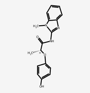 C[C@@H](Oc1ccc(O)cc1)C(=O)Nc1nc2ccccc2n1C